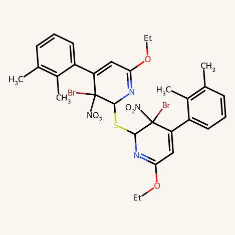 CCOC1=NC(SC2N=C(OCC)C=C(c3cccc(C)c3C)C2(Br)[N+](=O)[O-])C(Br)([N+](=O)[O-])C(c2cccc(C)c2C)=C1